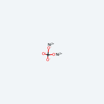 [Ni+2].[Ni+2].[O-]C([O-])([O-])[O-]